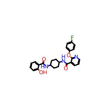 O=C(NC1CCC(NC(=O)c2cccnc2Oc2ccc(F)cc2)CC1)c1ccccc1O